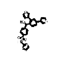 O=S(=O)(Nc1nccs1)c1ccc(C(O)c2ccc(-c3ccoc3)cc2-c2ccoc2)cc1